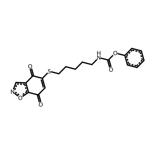 O=C(NCCCCCSC1=CC(=O)c2oncc2C1=O)Oc1ccccc1